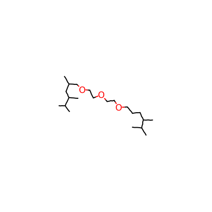 CC(COCCOCCOCCCC(C)C(C)C)CC(C)C(C)C